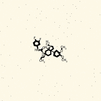 CCC[C@]1(NC(=O)Nc2ccc(F)c(F)c2)CC[C@@]2(c3ccc(OC)c(OC)c3)CCN(C)[C@H]2C1